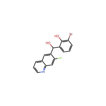 Oc1c(Br)cccc1C(O)c1cc2cccnc2cc1F